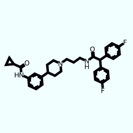 O=C(Nc1cccc(C2CCN(CCCNC(=O)C(c3ccc(F)cc3)c3ccc(F)cc3)CC2)c1)C1CC1